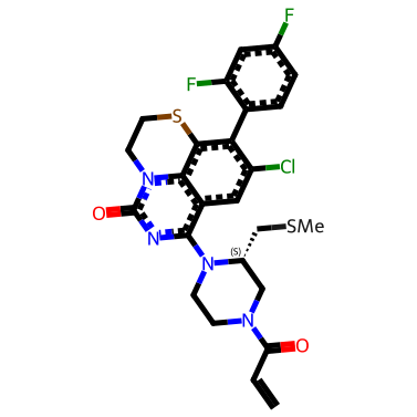 C=CC(=O)N1CCN(c2nc(=O)n3c4c(c(-c5ccc(F)cc5F)c(Cl)cc24)SCC3)[C@H](CSC)C1